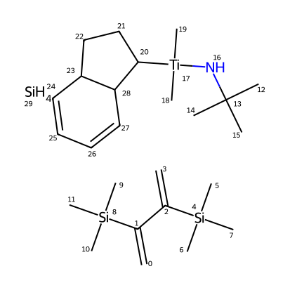 C=C(C(=C)[Si](C)(C)C)[Si](C)(C)C.CC(C)(C)[NH][Ti]([CH3])([CH3])[CH]1CCC2C=CC=CC21.[SiH4]